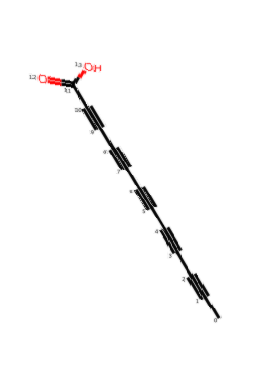 CC#CC#CC#CC#CC#CC(=O)O